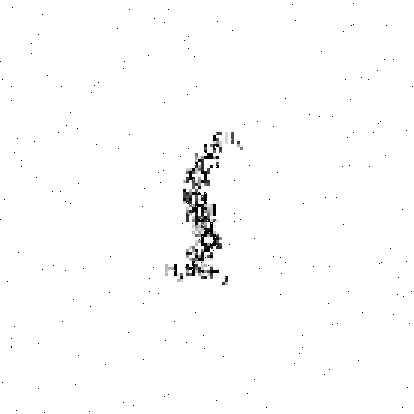 CCOC(=O)CN1CCN(c2ncnc(N[C@@H](Cc3ccc(OC(=O)N(C)C)cc3)C(=O)O)n2)CC1